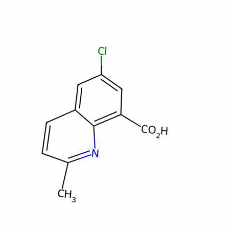 Cc1ccc2cc(Cl)cc(C(=O)O)c2n1